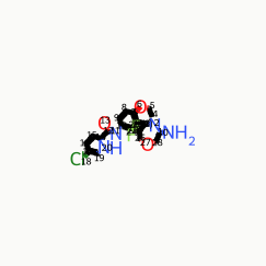 NC1=N[C@@]2(CCOc3ccc(NC(=O)c4ccc(Cl)cn4)cc32)C(F)(F)COC1